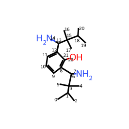 CC(C)C(C)(C)C(N)c1cccc(C(N)C(C)(C)C(C)C)c1O